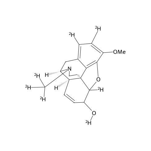 [2H]OC1C=C[C@H]2[C@H]3Cc4c([2H])c([2H])c(OC)c5c4[C@@]2(CCN3C([2H])([2H])[2H])C1([2H])O5